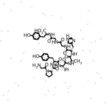 CC(C)[C@H](NC(=O)[C@H](Cc1ccc(O)cc1)NC(=O)[C@@H]1CCCN1C(=O)CN)C(=O)N[C@@H](C)C(=O)N[C@@H](Cc1c[nH]cn1)C(=O)NCC(=O)NCC(=O)N[C@@H](Cc1ccc(O)cc1)C(=O)O